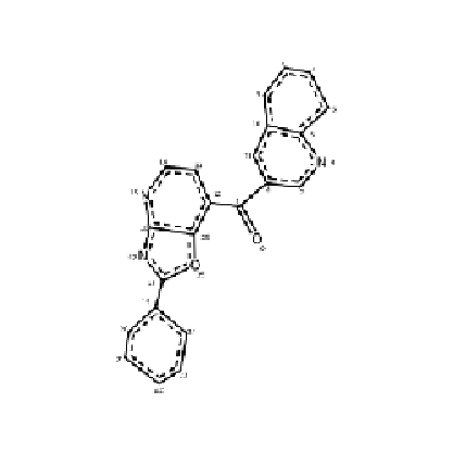 O=C(c1cnc2ccccc2c1)c1ccnc2nc(-c3ccccc3)oc12